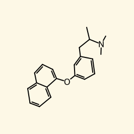 CC(Cc1cccc(Oc2cccc3ccccc23)c1)N(C)C